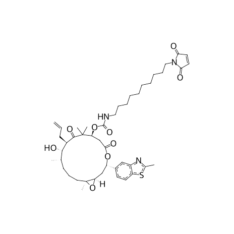 C=CC[C@H]1C(=O)C(C)(C)[C@@H](OC(=O)NCCCCCCCCCCN2C(=O)C=CC2=O)CC(=O)O[C@H](c2ccc3sc(C)nc3c2)C[C@H]2O[C@@]2(C)CCC[C@H](C)[C@@H]1O